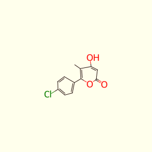 Cc1c(O)cc(=O)oc1-c1ccc(Cl)cc1